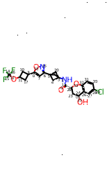 O=C(NC12CC(c3cc(C4CC(OC(F)(F)F)C4)on3)(C1)C2)[C@H]1C[C@@H](O)c2cc(Cl)ccc2O1